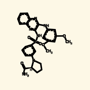 COc1cc(Nc2nc3ccccc3nc2NS(=O)(=O)c2cccc(N3CCC[C@H]3C(N)=O)c2)cc(OC)c1